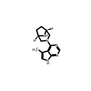 Cc1c[nH]c2ncnc(N3C[C@H]4CC[C@@H](C3)N4)c12